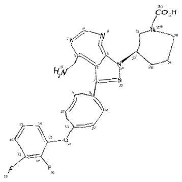 Nc1ncnc2c1c(-c1ccc(Oc3cccc(F)c3F)cc1)nn2[C@@H]1CCCN(C(=O)O)C1